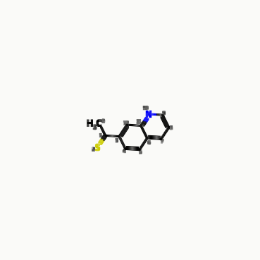 CC(=S)c1ccc2cccnc2c1